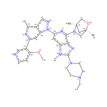 CCN1CCN(c2nc3c(N4C[C@H]5C[C@@H]4CO5)nc(-n4ncc5c(C)nc(-c6cnccc6OC)cc54)cc3n2C)CC1